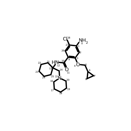 Nc1cc(OCC2CC2)c(C(=O)NC2(CN3CCCCC3)CCCCC2)cc1Cl